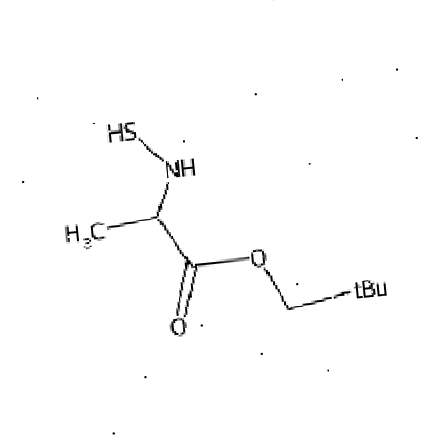 CC(NS)C(=O)OCC(C)(C)C